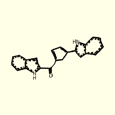 O=C(C1=CC=C(c2cc3ccccc3[nH]2)C1)c1cc2ccccc2[nH]1